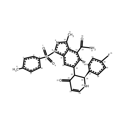 Cc1ccc(S(=O)(=O)n2nc(C)c3c(C(N)=O)c(Br)c(C4C(=O)C=CN[C@@H]4c4ccc(F)cc4)cc32)cc1